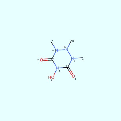 CN1C(=O)N(O)C(=O)N(C)N1C